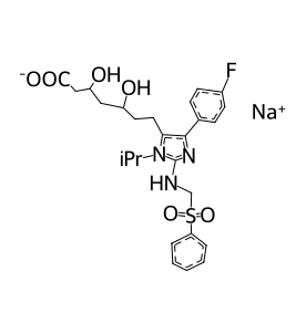 CC(C)n1c(NCS(=O)(=O)c2ccccc2)nc(-c2ccc(F)cc2)c1CCC(O)CC(O)CC(=O)[O-].[Na+]